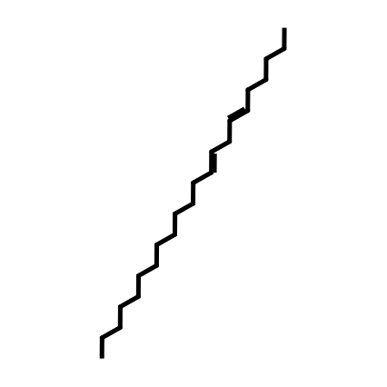 CCCCCC=CCC=CCCCCCCCCCCCC